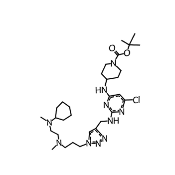 CN(CCCn1cc(CNc2nc(Cl)cc(NC3CCN(C(=O)OC(C)(C)C)CC3)n2)nn1)CCN(C)C1CCCCC1